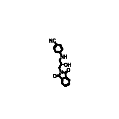 N#Cc1ccc(NC[C@@H](O)CN2C(=O)c3ccccc3C2=O)cc1